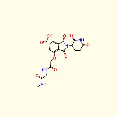 CNC(=O)CNC(=O)COc1cccc2c1C(=O)N(C1CCC(=O)NC1=O)C2=O.O=CO